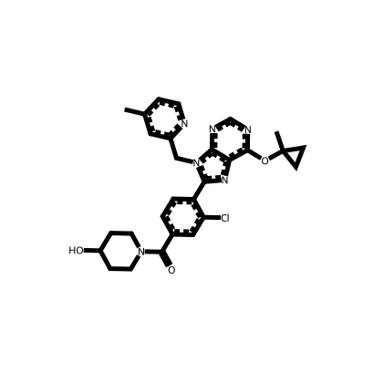 Cc1ccnc(Cn2c(-c3ccc(C(=O)N4CCC(O)CC4)cc3Cl)nc3c(OC4(C)CC4)ncnc32)c1